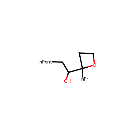 CCCCCCC(O)C1(CCC)CCO1